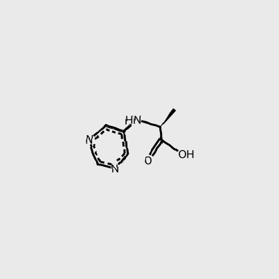 C[C@H](Nc1cncnc1)C(=O)O